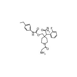 CCc1ccc(NC(=O)OCC2(C(C(N)=O)c3ccccc3F)CCN(C(=O)CN)CC2)cc1